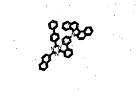 c1ccc(-c2ccc(-c3nc(-c4ccc5ccccc5c4)nc(-c4ccccc4-c4cccc(-n5c6ccc7ccccc7c6c6ccc7ccccc7c65)c4)n3)cc2)cc1